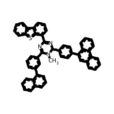 CN1C(c2cccc(-c3cccc4ccccc34)c2)=NC(c2cccc3c2sc2ccccc23)=NC1c1ccc(-c2cc3ccccc3c3ccccc23)cc1